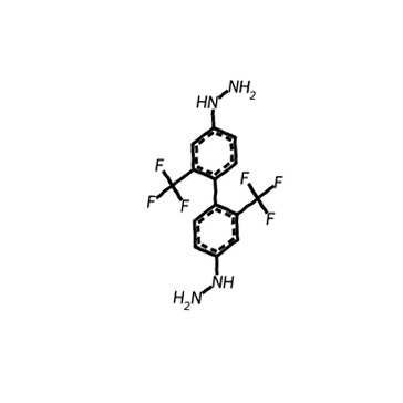 NNc1ccc(-c2ccc(NN)cc2C(F)(F)F)c(C(F)(F)F)c1